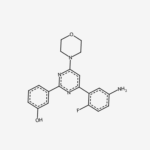 Nc1ccc(F)c(-c2cc(N3CCOCC3)nc(-c3cccc(O)c3)n2)c1